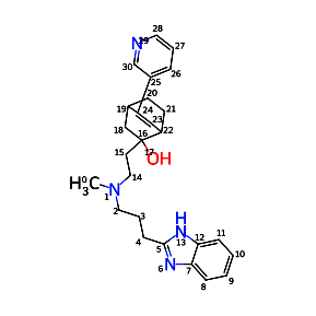 CN(CCCc1nc2ccccc2[nH]1)CCC1(O)CC2CCC1C=C2c1cccnc1